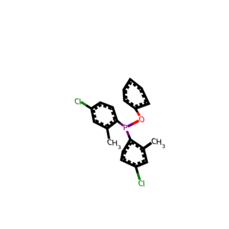 Cc1cc(Cl)ccc1P(Oc1ccccc1)c1ccc(Cl)cc1C